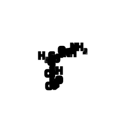 CC(OCCNC(=O)CCN1C(=O)C=CC1=O)OCCC(=O)NCCN